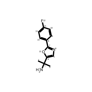 CC(C)(N)c1cnc(-c2ccc(F)cc2)o1